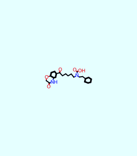 O=C1COc2ccc(C(=O)CCCCCN(CCc3ccccc3)C(=O)O)cc2N1